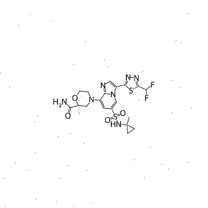 CC1(NS(=O)(=O)c2cc(N3CCO[C@](C)(C(N)=O)C3)c3ncc(-c4nnc(C(F)F)s4)n3c2)CC1